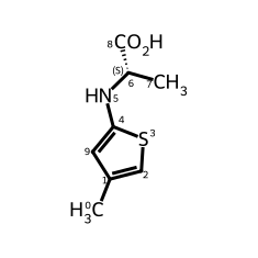 Cc1csc(N[C@@H](C)C(=O)O)c1